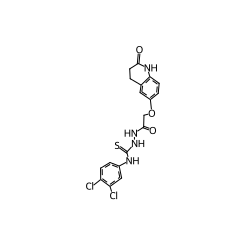 O=C(COc1ccc2c(c1)CCC(=O)N2)NNC(=S)Nc1ccc(Cl)c(Cl)c1